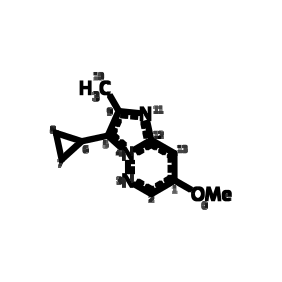 COc1cnn2c(C3CC3)c(C)nc2c1